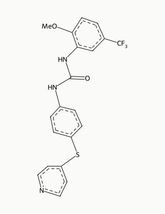 COc1ccc(C(F)(F)F)cc1NC(=O)Nc1ccc(Sc2ccncc2)cc1